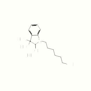 CC1N(CCCCCCO)c2ccccc2C1(C)C.I